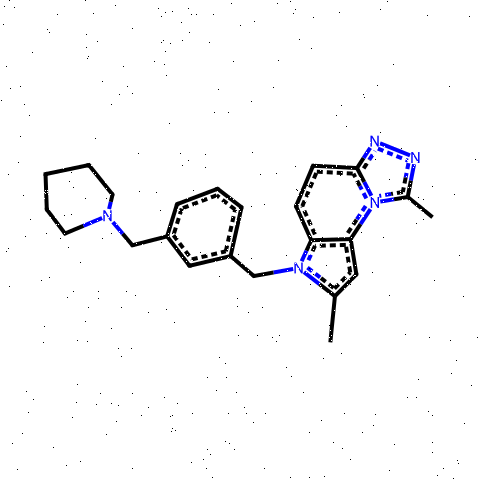 Cc1cc2c(ccc3nnc(C)n32)n1Cc1cccc(CN2CCCCC2)c1